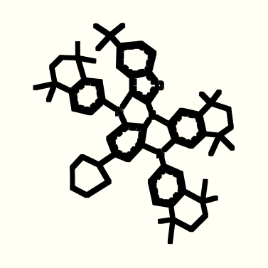 CC(C)(C)c1ccc2oc3c(c2c1)N(c1ccc2c(c1)C(C)(C)CCC2(C)C)c1cc(C2CCCCC2)cc2c1B3c1cc3c(cc1N2c1ccc2c(c1)C(C)(C)CCC2(C)C)C(C)(C)CCC3(C)C